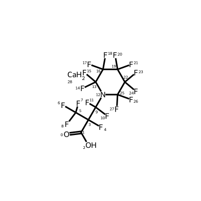 O=C(O)C(F)(C(F)(F)F)C(F)(F)N1C(F)(F)C(F)(F)C(F)(F)C(F)(F)C1(F)F.[CaH2]